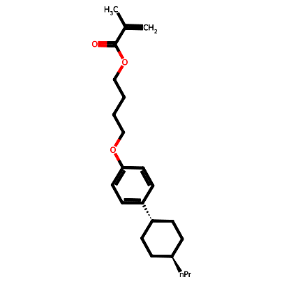 C=C(C)C(=O)OCCCCOc1ccc([C@H]2CC[C@H](CCC)CC2)cc1